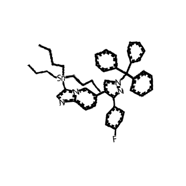 CCC[CH2][Sn]([CH2]CCC)([CH2]CCC)[c]1cnc2ccc(-c3cn(C(c4ccccc4)(c4ccccc4)c4ccccc4)nc3-c3ccc(F)cc3)cn12